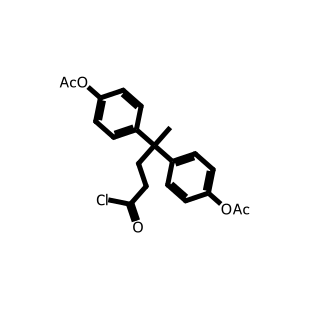 CC(=O)Oc1ccc(C(C)(CCC(=O)Cl)c2ccc(OC(C)=O)cc2)cc1